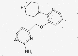 Nc1nccc(COc2cccnc2N2CCNCC2)n1